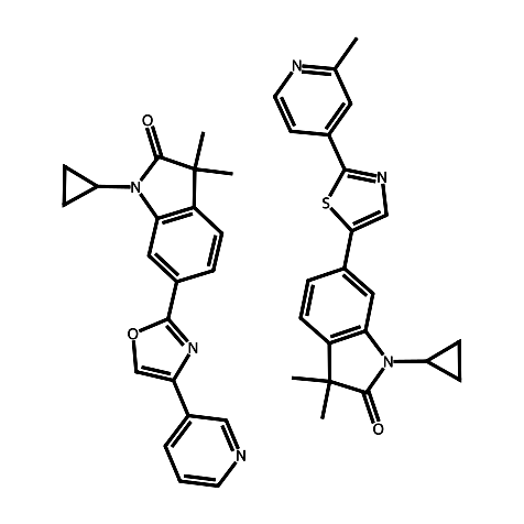 CC1(C)C(=O)N(C2CC2)c2cc(-c3nc(-c4cccnc4)co3)ccc21.Cc1cc(-c2ncc(-c3ccc4c(c3)N(C3CC3)C(=O)C4(C)C)s2)ccn1